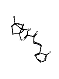 CC1(NC(=O)C(=O)/C=C/c2ccccc2F)[C@H]2CC[C@]1(C)CC2